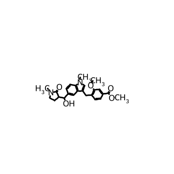 COC(=O)c1ccc(Cc2cn(C)c3ccc(C(O)C4CCN(C)C4=O)cc23)c(OC)c1